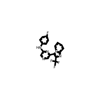 Fc1ccc(Nc2cncc(-c3c(C(F)(F)F)nc4ccccn34)n2)cc1